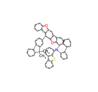 CC1(C)c2ccccc2-c2ccc(-c3c4oc5c(N(c6ccccc6-c6ccccc6)c6cccc7c6sc6ccccc67)cccc5c4cc4oc5ccccc5c34)cc21